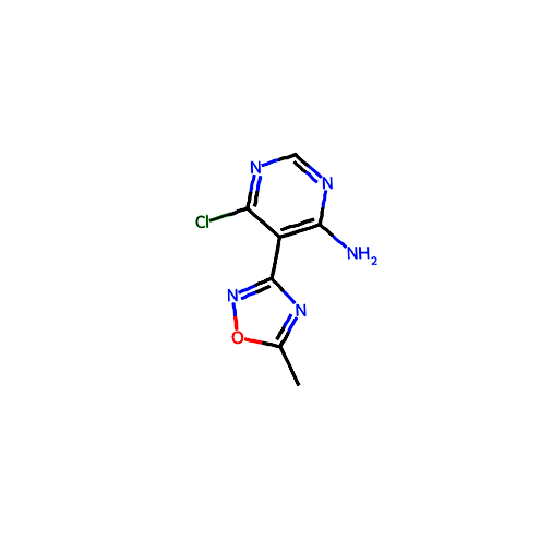 Cc1nc(-c2c(N)ncnc2Cl)no1